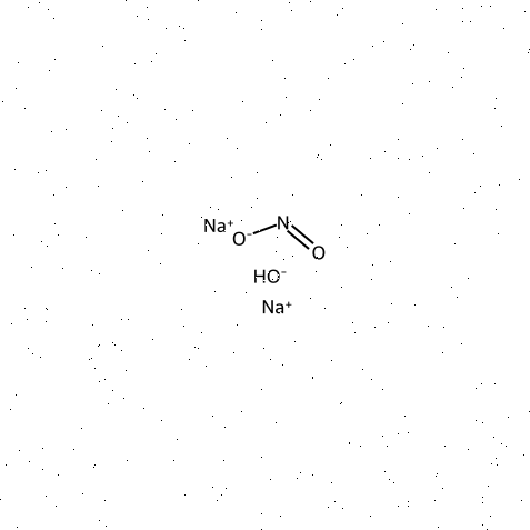 O=N[O-].[Na+].[Na+].[OH-]